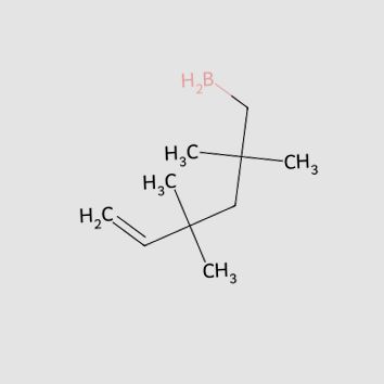 BCC(C)(C)CC(C)(C)C=C